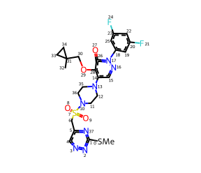 CSc1nncc(CS(=O)(=O)N2CCN(c3cnn(-c4cc(F)cc(F)c4)c(=O)c3OCC3(C)CC3)CC2)n1